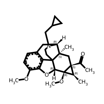 COc1ccc2c3c1O[C@@H]1C34CCN(CC3CC3)[C@H](C2)[C@@]4(C)C[C@]2(C(C)=O)[C@@H](C)[C@]12OC